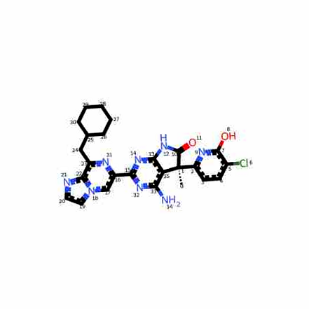 C[C@@]1(c2ccc(Cl)c(O)n2)C(=O)Nc2nc(-c3cn4ccnc4c(CC4CCCCC4)n3)nc(N)c21